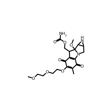 COCCOCCOC1=C(C)C(=O)C2=C(C1=O)C(COC(N)=O)C1(OC)C3NC3CN21